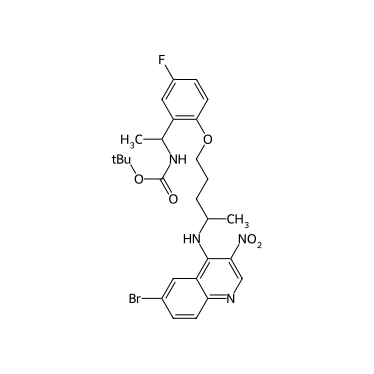 CC(CCCOc1ccc(F)cc1C(C)NC(=O)OC(C)(C)C)Nc1c([N+](=O)[O-])cnc2ccc(Br)cc12